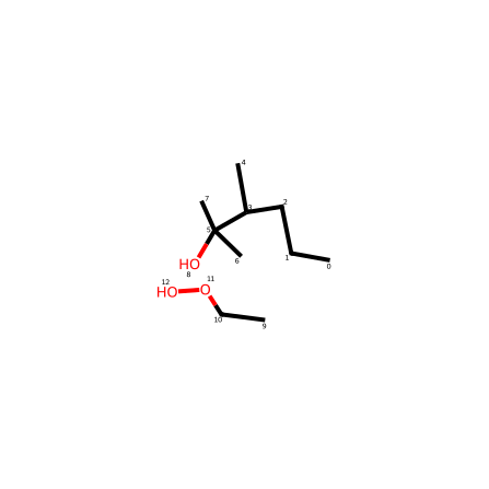 CCCC(C)C(C)(C)O.CCOO